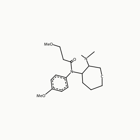 COCCC(=O)N(c1ccc(OC)cc1)C1CCCCCC1N(C)C